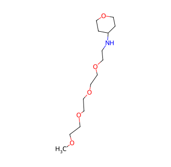 COCCOCCOCCOCCNC1CCOCC1